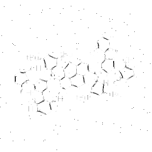 Cc1cccc(C)c1-c1cc(-c2c(C)cccc2C)cc(N(c2cc(C(C)(C)C)cc(C(C)(C)C)c2)c2ccc3ccc4c(N(c5cc(-c6c(C)cccc6C)cc(-c6c(C)cccc6C)c5)c5cc(C(C)(C)C)cc(C(C)(C)C)c5)ccc5ccc2c3c54)c1